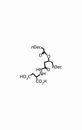 CCCCCCCCCCCC(=O)O[C@@H](CCCCCCCCCCC)CC(=O)NN[C@H](CC(=O)O)C(=O)O